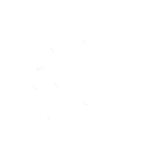 O=c1ccc(-c2nc(Nc3ccc(N4CCOCC4)cn3)ncc2F)cn1C1CCCC1